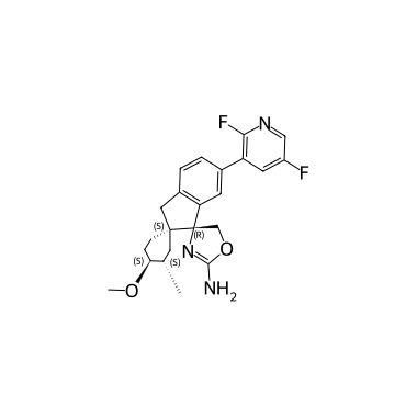 CO[C@H]1CC[C@@]2(Cc3ccc(-c4cc(F)cnc4F)cc3[C@@]23COC(N)=N3)C[C@@H]1C